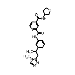 CC(Cc1nncn1C)c1cccc(NC(=O)c2cc(C(=O)NC3CCOC3)ccn2)c1